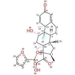 C[C@@H]1C[C@H]2[C@@H]3CCC4=CC(=O)C=C[C@]4(C)[C@@]3(F)[C@@H](O)C[C@]2(C)[C@@]1(OC(=O)c1ccco1)C(=O)CO